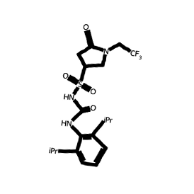 CC(C)c1cccc(C(C)C)c1NC(=O)NS(=O)(=O)C1CC(=O)N(CC(F)(F)F)C1